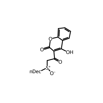 CCCCCCCCCC[S+]([O-])CC(=O)c1c(O)c2ccccc2oc1=O